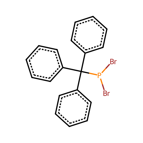 BrP(Br)C(c1ccccc1)(c1ccccc1)c1ccccc1